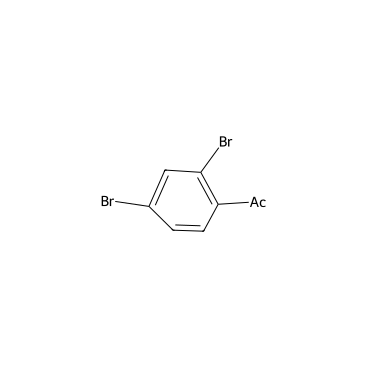 CC(=O)c1ccc(Br)cc1Br